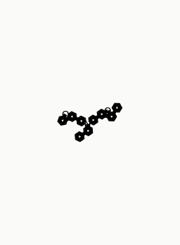 c1ccc(-c2cccc(N(c3ccc(-c4ccc5oc6ccccc6c5c4)cc3)c3ccc(-c4ccc5oc6c(-c7ccccc7)cccc6c5c4)cc3)c2)cc1